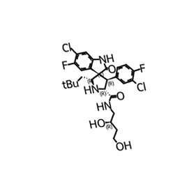 CC(C)(C)C[C@H]1N[C@@H](C(=O)NC[C@H](O)CCO)[C@H](c2ccc(F)c(Cl)c2)[C@@]12C(=O)Nc1cc(Cl)c(F)cc12